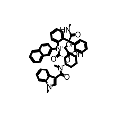 CNC(=O)[C@@](O)(c1ccccc1)c1ccccc1[N@@+](C(=O)[C@@H]1CCCC[C@@H]1N(C)C(=O)c1cn(C)c2ccccc12)(c1ccc2ccccc2c1)C(C)C(=O)O